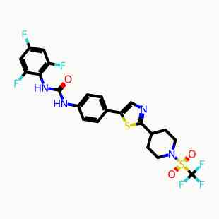 O=C(Nc1ccc(-c2cnc(C3CCN(S(=O)(=O)C(F)(F)F)CC3)s2)cc1)Nc1c(F)cc(F)cc1F